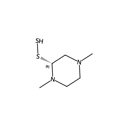 CN1CCN(C)[C@H](SS)C1